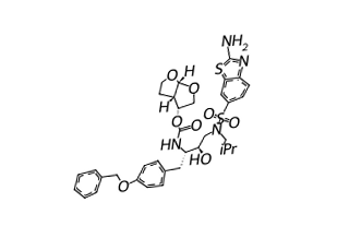 CC(C)CN(C[C@@H](O)[C@H](Cc1ccc(OCc2ccccc2)cc1)NC(=O)O[C@H]1CO[C@H]2OCC[C@H]21)S(=O)(=O)c1ccc2nc(N)sc2c1